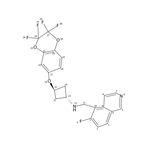 Fc1ccc2cnccc2c1CN[C@H]1C[C@H](Oc2ccc3c(c2)OC(F)(F)C(F)(F)O3)C1